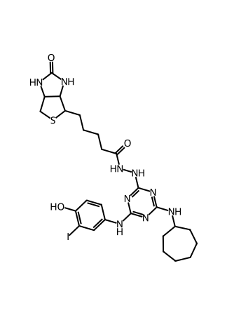 O=C(CCCCC1SCC2NC(=O)NC21)NNc1nc(Nc2ccc(O)c(I)c2)nc(NC2CCCCCC2)n1